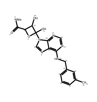 CNC(=O)C1OC(O)(n2cnc3c(NCc4cccc(C)c4)ncnc32)C1O